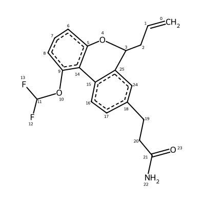 C=CCC1Oc2cccc(OC(F)F)c2-c2ccc(CCC(N)=O)cc21